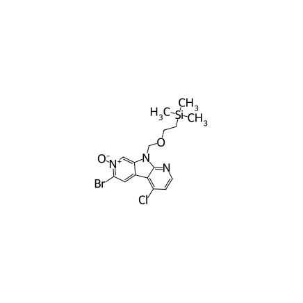 C[Si](C)(C)CCOCn1c2c[n+]([O-])c(Br)cc2c2c(Cl)ccnc21